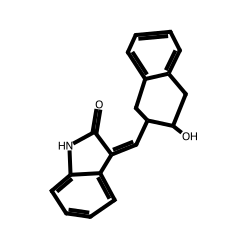 O=C1Nc2ccccc2C1=CC1Cc2ccccc2CC1O